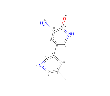 Cc1cncc(-c2c[nH]c(=O)c(N)c2)c1